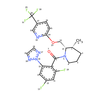 C[C@@H]1CCCN(C(=O)c2c(F)cc(F)cc2-n2nccn2)[C@@H]1COc1ccc(C(F)(F)F)cn1